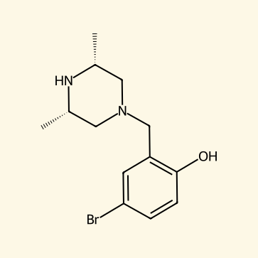 C[C@@H]1CN(Cc2cc(Br)ccc2O)C[C@H](C)N1